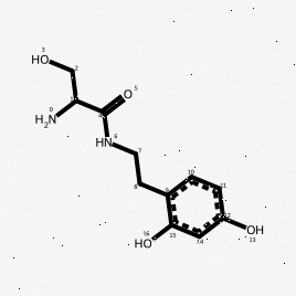 NC(CO)C(=O)NCCc1ccc(O)cc1O